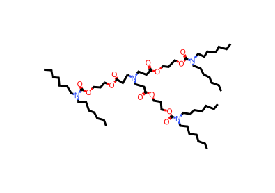 CCCCCCCN(CCCCCCC)C(=O)OCCCOC(=O)CCN(CCC(=O)OCCCOC(=O)N(CCCCCCC)CCCCCCC)CCC(=O)OCCCOC(=O)N(CCCCCCC)CCCCCCC